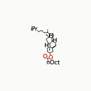 CCCCCCCCC(=O)O[C@H]1CC[C@@]2(C)C(=CC[C@H]3[C@@H]4CC[C@H](C(C)CCCC(C)C)[C@@]4(C)CC[C@@H]32)C1